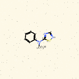 O=C(O)N(c1ccccc1)c1ncns1